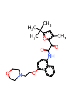 Cc1cc(C(C)(C)C)oc1C(=O)C(=O)Nc1ccc(OCCN2CCOCC2)c2ccccc12